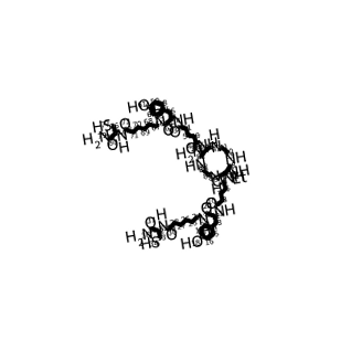 CCN[C@]1(NC(=O)CCCC(=O)NC(Cc2ccc(O)cc2)C(=O)NCCCCCC(=O)NC(CS)C(N)=O)CNCCNC[C@@](N)(NC(=O)CCCC(=O)NC(Cc2ccc(O)cc2)C(=O)NCCCCCC(=O)NC(CS)C(N)=O)CNCCNC1